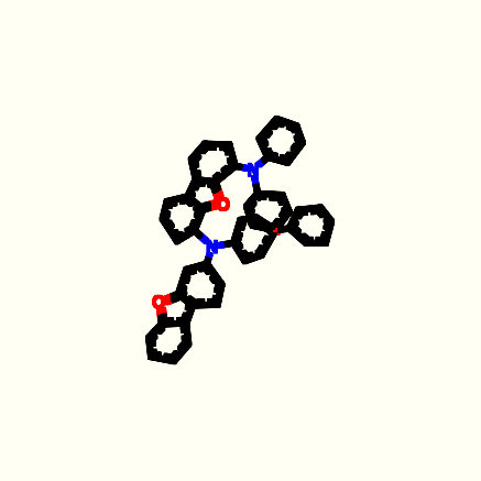 c1ccc(-c2ccc(N(c3ccc4c(c3)oc3ccccc34)c3cccc4c3oc3c(N(c5ccccc5)c5ccccc5)cccc34)cc2)cc1